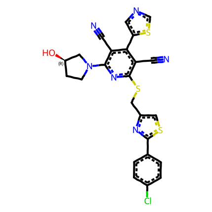 N#Cc1c(SCc2csc(-c3ccc(Cl)cc3)n2)nc(N2CC[C@@H](O)C2)c(C#N)c1-c1cncs1